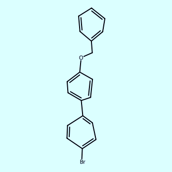 Brc1ccc(-c2ccc(OCc3ccccc3)cc2)cc1